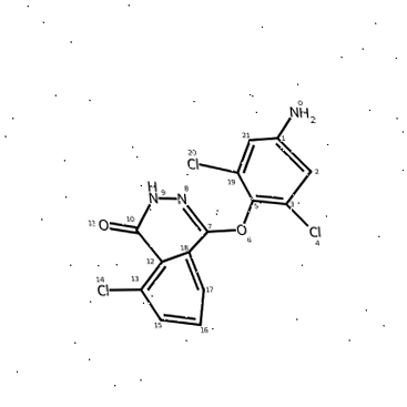 Nc1cc(Cl)c(Oc2n[nH]c(=O)c3c(Cl)cccc23)c(Cl)c1